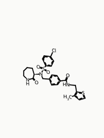 Cc1ccsc1CNC(=O)c1ccc(CN([C@@H]2CCCCNC2=O)S(=O)(=O)c2ccc(Cl)cc2)cc1